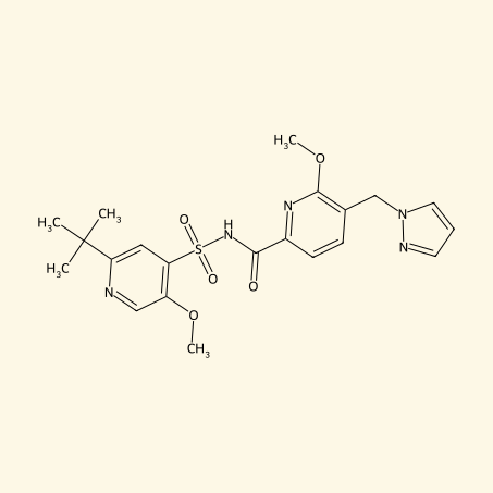 COc1cnc(C(C)(C)C)cc1S(=O)(=O)NC(=O)c1ccc(Cn2cccn2)c(OC)n1